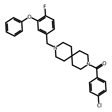 O=C(c1ccc(Cl)cc1)N1CCC2(CCN(Cc3ccc(F)c(Oc4ccccc4)c3)CC2)CC1